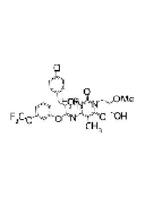 COC(CO)Cn1c(=O)c(C)c(/N=C(/Oc2cccc(OC(F)(F)F)c2)C(C)Cc2ccc(Cl)cc2)n(C)c1=O